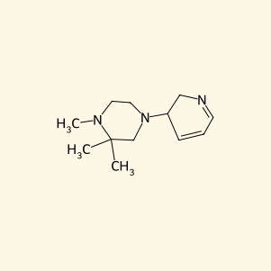 CN1CCN(C2C=CC=NC2)CC1(C)C